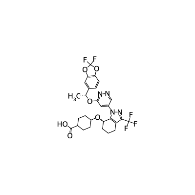 C[C@@H](Oc1cc(-n2nc(C(F)(F)F)c3c2[C@H](OC2CCC(C(=O)O)CC2)CCC3)cnn1)c1ccc2c(c1)OC(F)(F)O2